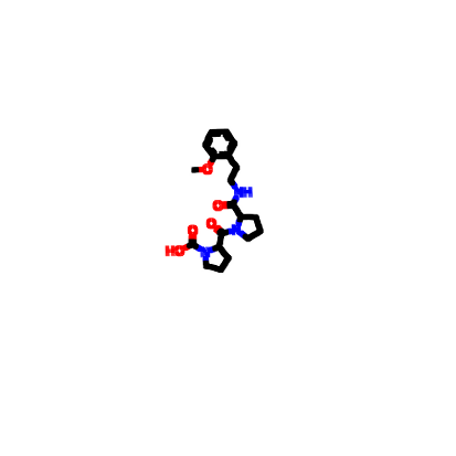 COc1ccccc1CCNC(=O)C1CCCN1C(=O)C1CCCN1C(=O)O